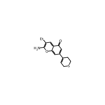 CCc1cc2c(=O)cc(C3=CCSCC3)cc-2oc1N